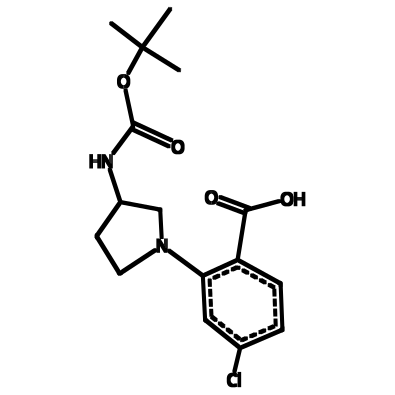 CC(C)(C)OC(=O)NC1CCN(c2cc(Cl)ccc2C(=O)O)C1